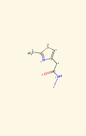 Cc1nc(CC(=O)NI)cs1